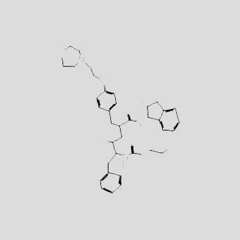 O=C(NC(Cc1ccccc1)C(O)CC(Cc1ccc(OCCN2CCOCC2)cc1)C(=O)N[C@H]1c2ccccc2C[C@@H]1O)OCCO